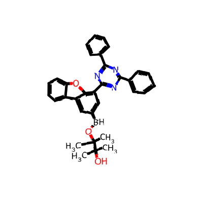 CC(C)(O)C(C)(C)OBc1cc(-c2nc(-c3ccccc3)nc(-c3ccccc3)n2)c2oc3ccccc3c2c1